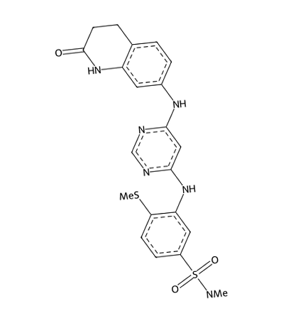 CNS(=O)(=O)c1ccc(SC)c(Nc2cc(Nc3ccc4c(c3)NC(=O)CC4)ncn2)c1